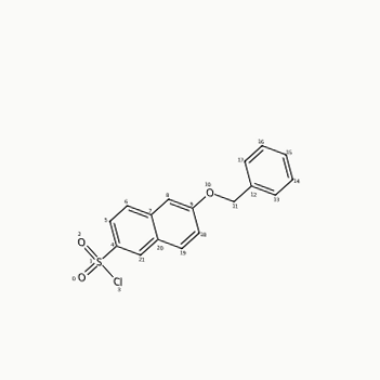 O=S(=O)(Cl)c1ccc2cc(OCc3ccccc3)ccc2c1